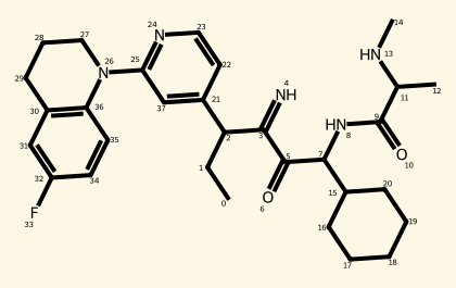 CCC(C(=N)C(=O)C(NC(=O)C(C)NC)C1CCCCC1)c1ccnc(N2CCCc3cc(F)ccc32)c1